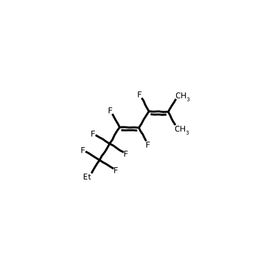 CCC(F)(F)C(F)(F)C(F)=C(F)C(F)=C(C)C